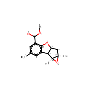 CCOC(O)c1cc(C)cc2c1OC1C[C@H]3O[C@H]3C21